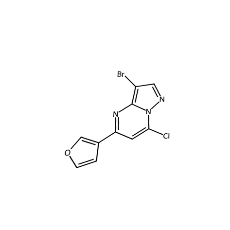 Clc1cc(-c2ccoc2)nc2c(Br)cnn12